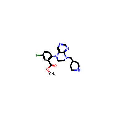 COC(=O)c1cc(F)ccc1N1CCN(CC2CCNCC2)c2ncncc21